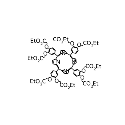 CCOC(=O)COc1ccc(C2=C3C=CC(=N3)C(c3ccc(OCC(=O)OCC)c(OCC(=O)OCC)c3)=C3C=CC(=N3)C(c3ccc(OCC(=O)OCC)c(OCC(=O)OCC)c3)=C3C=CC(=N3)C(c3ccc(OCC(=O)OCC)c(OCC(=O)OCC)c3)=C3C=CC2=N3)cc1OCC(=O)OCC